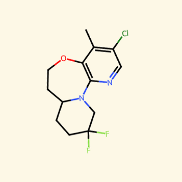 Cc1c(Cl)cnc2c1OCCC1CCC(F)(F)CN21